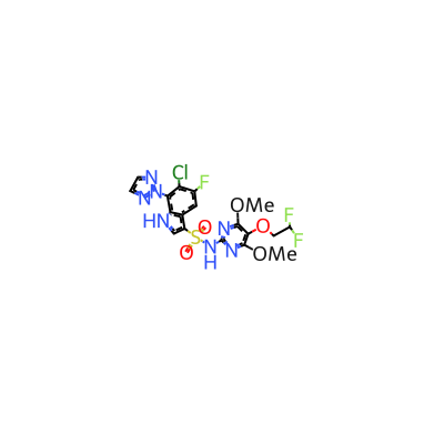 COc1nc(NS(=O)(=O)c2c[nH]c3c(-n4nccn4)c(Cl)c(F)cc23)nc(OC)c1OCC(F)F